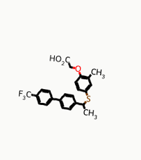 Cc1cc(SC(C)c2ccc(-c3ccc(C(F)(F)F)cc3)cc2)ccc1OCC(=O)O